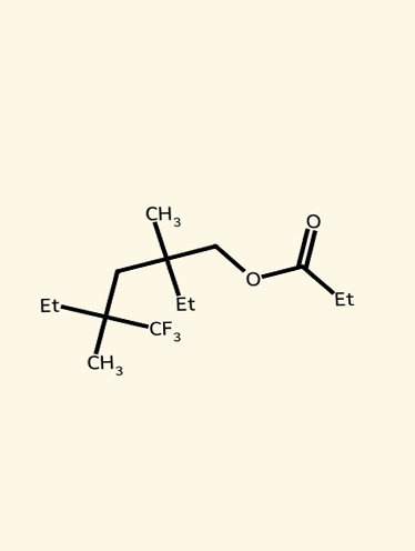 CCC(=O)OCC(C)(CC)CC(C)(CC)C(F)(F)F